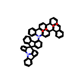 c1ccc(-c2ccc(-c3ccccc3N(c3ccc(-c4cccc5ccccc45)cc3)c3cccc4c3-c3ccccc3C43c4ccccc4-n4c5ccccc5c5cccc3c54)cc2)cc1